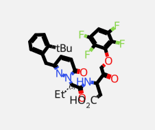 CC[C@@H](C(=O)NC(CC(=O)O)C(=O)COc1c(F)c(F)cc(F)c1F)n1nc(Cc2ccccc2C(C)(C)C)ccc1=O